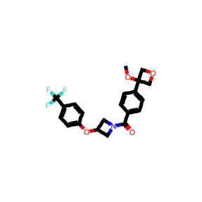 COC1(c2ccc(C(=O)N3CC(Oc4ccc(C(F)(F)F)cc4)C3)cc2)COC1